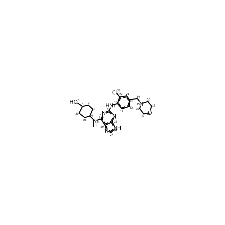 OC1CCC(Nc2nc(Nc3ccc(CN4CCOCC4)cc3Cl)nc3[nH]cnc23)CC1